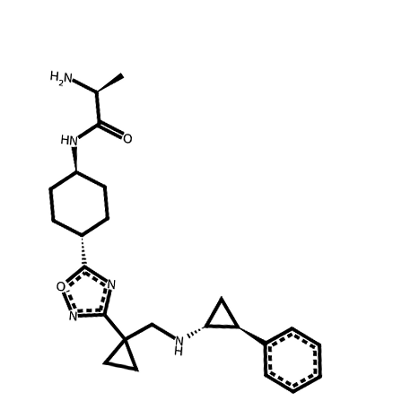 C[C@H](N)C(=O)N[C@H]1CC[C@H](c2nc(C3(CN[C@@H]4C[C@H]4c4ccccc4)CC3)no2)CC1